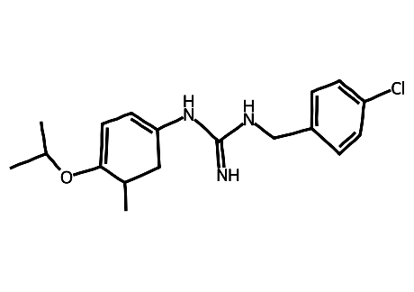 CC(C)OC1=CC=C(NC(=N)NCc2ccc(Cl)cc2)CC1C